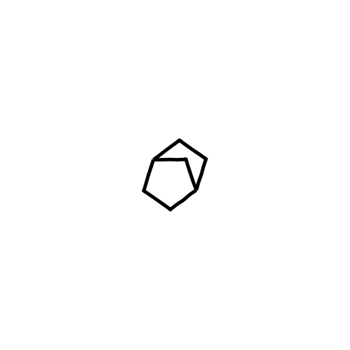 C1CC2CCC1C2